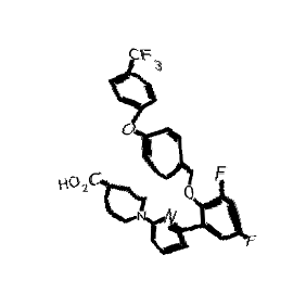 O=C(O)C1CCN(c2cccc(-c3cc(F)cc(F)c3OCc3ccc(Oc4ccc(C(F)(F)F)cc4)cc3)n2)CC1